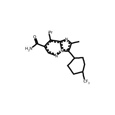 Cc1nc2c(C(C)C)c(C(N)=O)cnn2c1C1CCC(C(F)(F)F)CC1